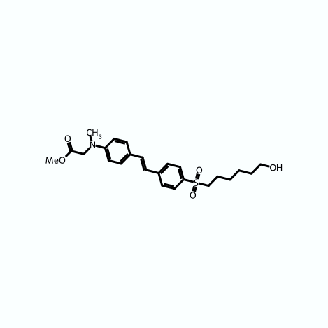 COC(=O)CN(C)c1ccc(C=Cc2ccc(S(=O)(=O)CCCCCCO)cc2)cc1